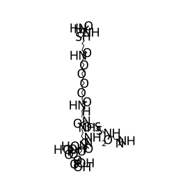 CN1NC1(C)CCC(=O)NCCSSCCC(=O)N[C@@H](CCCCNC(=O)CCOCCOCCOCCOCCNC(=O)CCCC[C@@H]1SC[C@@H]2NC(=O)N[C@@H]21)C(=O)NCCCc1cn([C@@H]2O[C@H](COP(=O)(O)O)C(OP(=O)(O)O)C2O)c(=O)nc1N